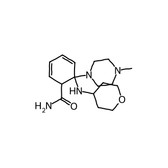 CN1CCN(C2(NC3CCOCC3)C=CC=CC2C(N)=O)CC1